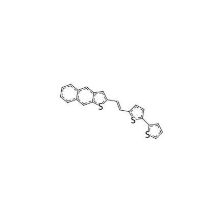 C(=C\c1cc2cc3ccccc3cc2s1)/c1ccc(-c2cccs2)s1